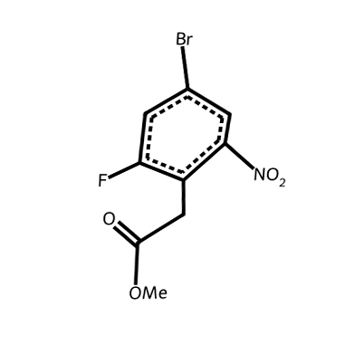 COC(=O)Cc1c(F)cc(Br)cc1[N+](=O)[O-]